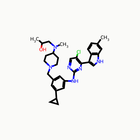 Cc1ccc2c(-c3nc(Nc4cc(CN5CCC(N(C)CC(C)O)CC5)cc(C5CC5)c4)ncc3Cl)c[nH]c2c1